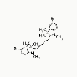 CN1/C(=C/C=C/C=C/C2=[N+](C)c3ccc(Br)cc3C2(C)C)C(C)(C)c2cc(Br)ccc21